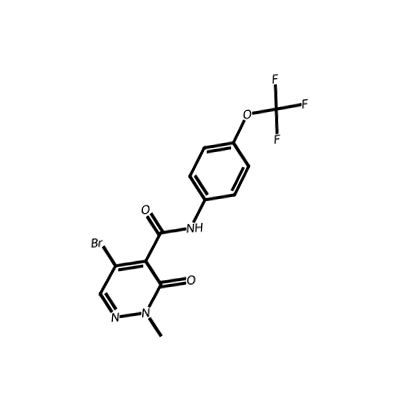 Cn1ncc(Br)c(C(=O)Nc2ccc(OC(F)(F)F)cc2)c1=O